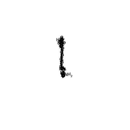 Nc1cccc2cnc(-n3ccc4cc(OCCOCCOCCOCCOCCOc5ccc6c(c5)C(=O)N(C5CCC(=O)NC5=O)C6=O)ncc43)cc12